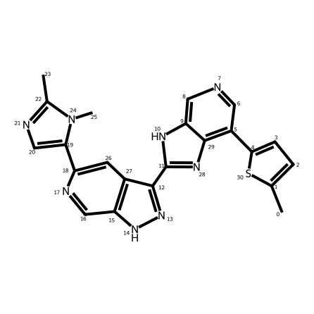 Cc1ccc(-c2cncc3[nH]c(-c4n[nH]c5cnc(-c6cnc(C)n6C)cc45)nc23)s1